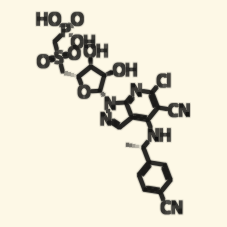 C[C@H](Nc1c(C#N)c(Cl)nc2c1cnn2[C@@H]1O[C@H](CS(=O)(=O)CP(=O)(O)O)[C@@H](O)[C@H]1O)c1ccc(C#N)cc1